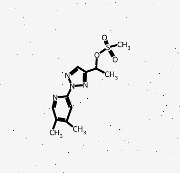 Cc1cnc(-n2ncc(C(C)OS(C)(=O)=O)n2)cc1C